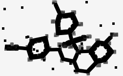 COc1ccc(CCC2CCc3ccc(F)cc3N2S(=O)(=O)c2ccc(C)cc2)cc1